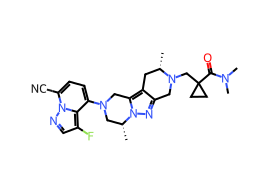 C[C@@H]1CN(c2ccc(C#N)n3ncc(F)c23)Cc2c3c(nn21)CN(CC1(C(=O)N(C)C)CC1)[C@@H](C)C3